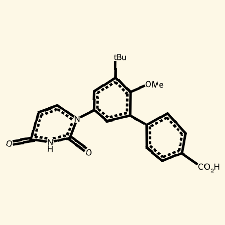 COc1c(-c2ccc(C(=O)O)cc2)cc(-n2ccc(=O)[nH]c2=O)cc1C(C)(C)C